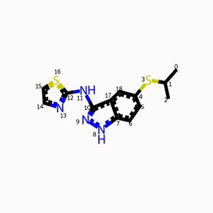 CC(C)Sc1ccc2[nH]nc(Nc3nccs3)c2c1